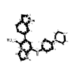 O=C(O)c1c(-c2ccc3cn[nH]c3c2)cc(Nc2ccc(N3CCOCC3)cn2)c2nccn12